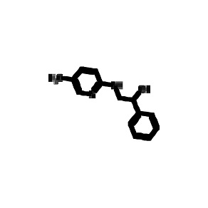 Cc1ccc(NCC(O)c2ccccc2)nc1